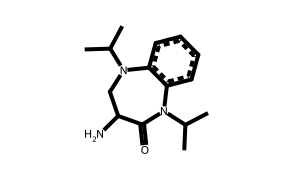 CC(C)N1CC(N)C(=O)N(C(C)C)c2ccccc21